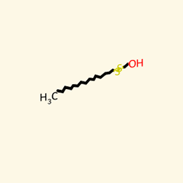 CCCCCCCCCCCCCCCCSSCCO